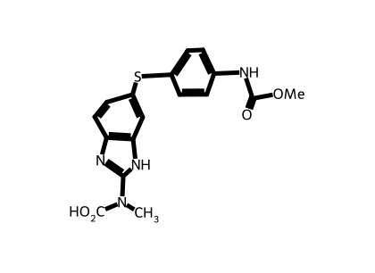 COC(=O)Nc1ccc(Sc2ccc3nc(N(C)C(=O)O)[nH]c3c2)cc1